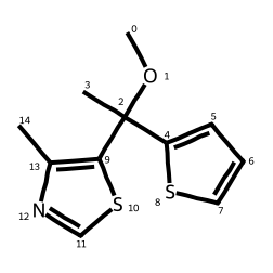 COC(C)(c1cccs1)c1scnc1C